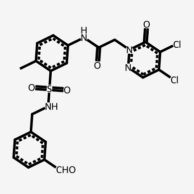 Cc1ccc(NC(=O)Cn2ncc(Cl)c(Cl)c2=O)cc1S(=O)(=O)NCc1cccc(C=O)c1